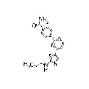 CCCNc1ncc(-c2ccnc(-c3ccc(C(N)=O)cc3)n2)s1